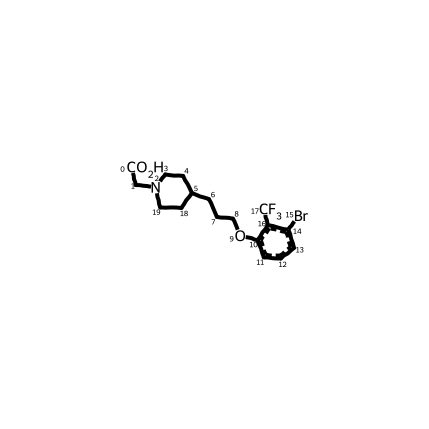 O=C(O)CN1CCC(CCCOc2cccc(Br)c2C(F)(F)F)CC1